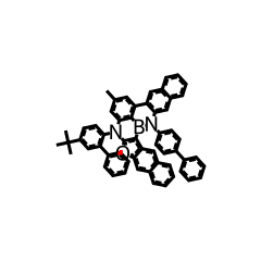 Cc1cc2c3c(c1)N(c1ccc(C(C)(C)C)cc1-c1ccccc1)c1oc4cc5ccccc5cc4c1B3N(c1ccc(-c3ccccc3)cc1)c1cc3ccccc3cc1-2